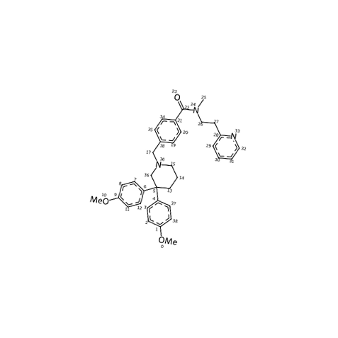 COc1ccc(C2(c3ccc(OC)cc3)CCCN(Cc3ccc(C(=O)N(C)CCc4ccccn4)cc3)C2)cc1